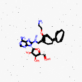 NCCOc1cc(-c2ccccc2)ccc1CNc1nc2c(N)ncnc2n1[C@@H]1O[C@H](CO)[C@@H](O)[C@H]1O